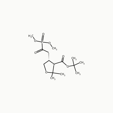 COP(=O)(OC)C(=O)C[C@H]1COC(C)(C)N1C(=O)OC(C)(C)C